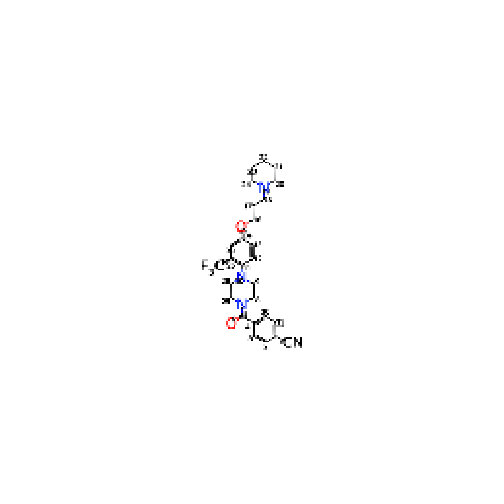 N#Cc1ccc(C(=O)N2CCN(c3ccc(OCCCN4CCCCC4)cc3C(F)(F)F)CC2)cc1